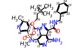 Cc1ccc(S(=O)(=O)N(C)c2cnc(N)c3c(C(=O)NCc4ccccc4)nn(COCC[Si](C)(C)C)c23)cn1